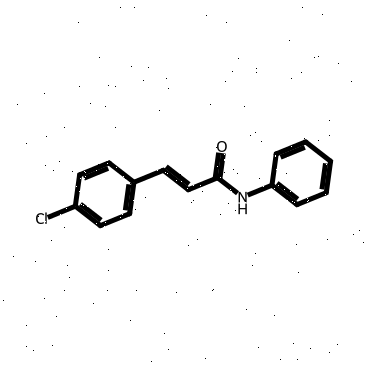 O=C(C=Cc1ccc(Cl)cc1)Nc1ccccc1